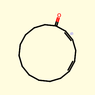 O=C1/C=C\CC=CCCCCCCCCCC1